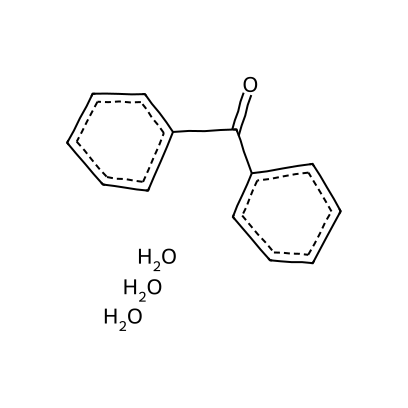 O.O.O.O=C(c1ccccc1)c1ccccc1